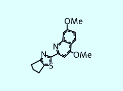 COc1ccc2c(OC)cc(-c3nc4c(s3)CCC4)nc2c1